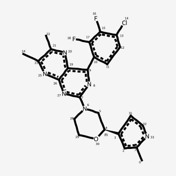 Cc1cc([C@@H]2CN(c3nc(-c4ccc(Cl)c(F)c4F)c4nc(C)c(C)nc4n3)CCO2)ccn1